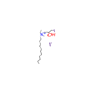 CCCCCCCCCCCC[N+](C)(CC)CC(O)CI.[I-]